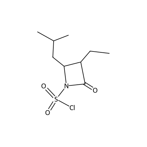 CCC1C(=O)N(S(=O)(=O)Cl)C1CC(C)C